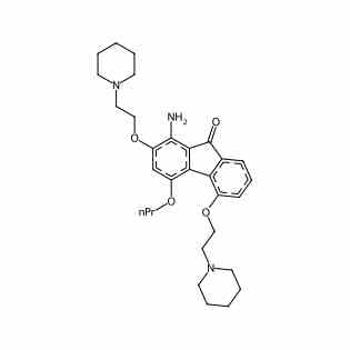 CCCOc1cc(OCCN2CCCCC2)c(N)c2c1-c1c(OCCN3CCCCC3)cccc1C2=O